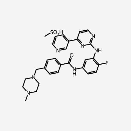 CN1CCN(Cc2ccc(C(=O)Nc3ccc(F)c(Nc4nccc(-c5cccnc5)n4)c3)cc2)CC1.CS(=O)(=O)O